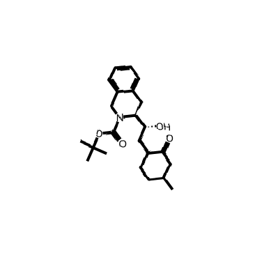 CC1CCC(C[C@@H](O)[C@@H]2Cc3ccccc3CN2C(=O)OC(C)(C)C)C(=O)C1